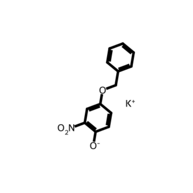 O=[N+]([O-])c1cc(OCc2ccccc2)ccc1[O-].[K+]